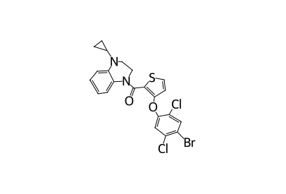 O=C(c1sccc1Oc1cc(Cl)c(Br)cc1Cl)N1CCN(C2CC2)c2ccccc21